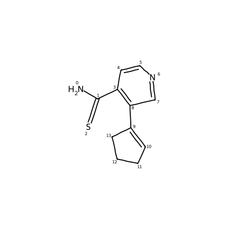 NC(=S)c1ccncc1C1=CCCC1